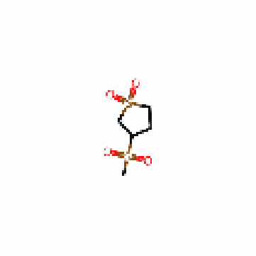 CS(=O)(=O)C1CCS(=O)(=O)C1